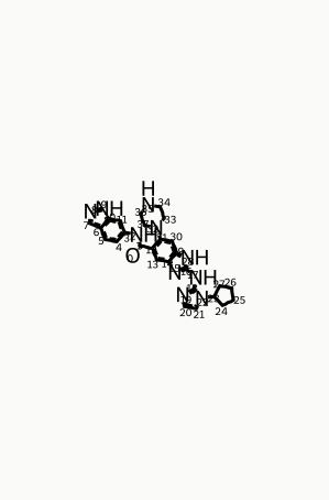 O=C(Nc1ccc2cn[nH]c2c1)c1cc2nc(Nc3nccn3C3CCCC3)[nH]c2cc1N1CCNCC1